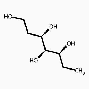 CC[C@H](O)[C@@H](O)[C@H](O)CCO